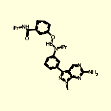 CC(C)NC(=O)c1cccc(OBN(c2cccc(-c3nn(C)c4nc(N)ncc34)c2)C(C)C)c1